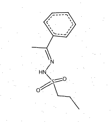 CCCS(=O)(=O)NN=C(C)c1ccccc1